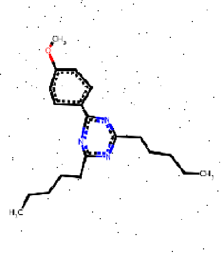 CCCCCc1nc(CCCCC)nc(-c2ccc(OC)cc2)n1